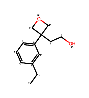 CCc1cccc(C2(CCO)COC2)c1